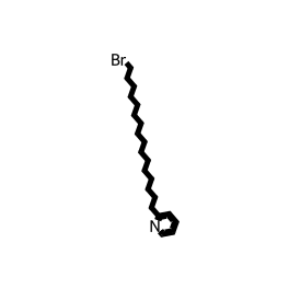 BrCCCCCCCCCCCCCCCCc1ccccn1